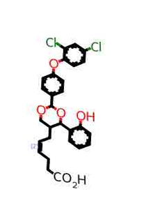 O=C(O)CC/C=C\CC1COC(c2ccc(Oc3ccc(Cl)cc3Cl)cc2)OC1c1ccccc1O